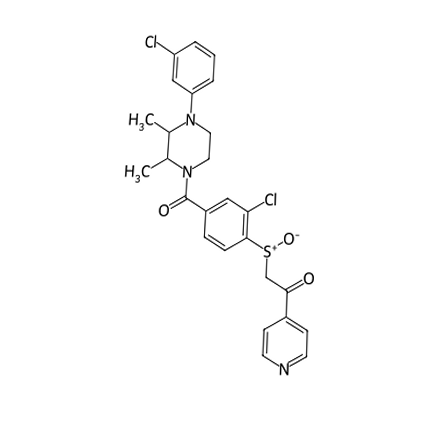 CC1C(C)N(c2cccc(Cl)c2)CCN1C(=O)c1ccc([S+]([O-])CC(=O)c2ccncc2)c(Cl)c1